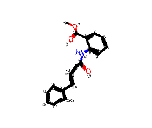 COC(=O)c1ccccc1NC(=O)C=Cc1ccccc1